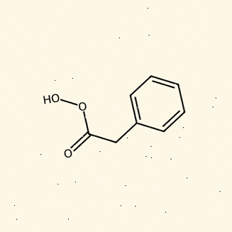 O=C(Cc1ccccc1)OO